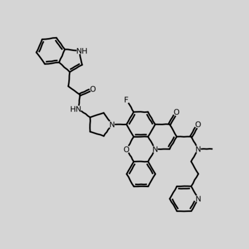 CN(CCc1ccccn1)C(=O)c1cn2c3c(c(N4CCC(NC(=O)Cc5c[nH]c6ccccc56)C4)c(F)cc3c1=O)Oc1ccccc1-2